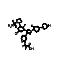 NS(=O)(=O)N1CCCC1c1cc(Cl)cc(-c2cn(-c3ccc(N4CCNCC4)cc3F)nc2-c2ccncc2)c1F.O=C(O)C(F)(F)F